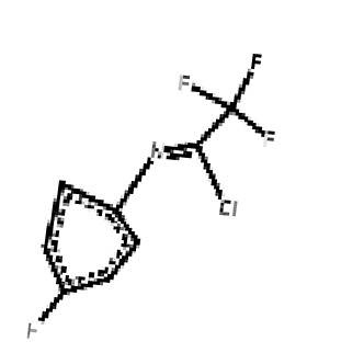 Fc1ccc(N=C(Cl)C(F)(F)F)cc1